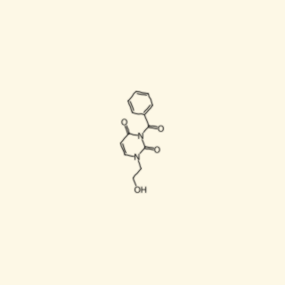 O=C(c1ccccc1)n1c(=O)ccn(CCO)c1=O